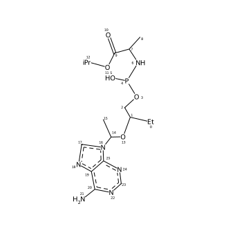 CCC(COP(O)NC(C)C(=O)OC(C)C)OC(C)n1cnc2c(N)ncnc21